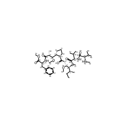 CC[C@H](C)[C@@H]([C@@H](CC(=O)N1CCC[C@H]1[C@H](OC)[C@@H](C)C(=O)N[C@@H](Cc1ccccc1)C(=O)OC)OC)N(C)C(=O)[C@@H](NC(=O)[C@H](NC)C(C)C)C(C)C